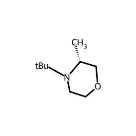 C[C@@H]1COCCN1C(C)(C)C